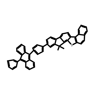 CC1(C)c2cc(-c3ccc(-c4c5ccccc5c(-c5ccccc5)c5ccccc45)cc3)ccc2-c2ccc3c(sc4ccc5ccccc5c43)c21